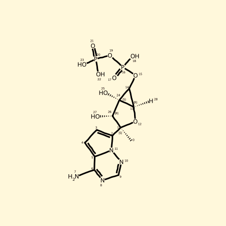 C[C@@]1(c2ccc3c(N)ncnn23)O[C@@H]2C(OP(=O)(O)OP(=O)(O)O)[C@]2(O)[C@H]1O